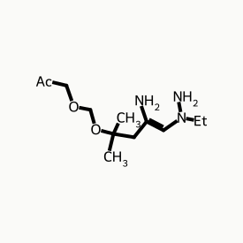 CCN(N)/C=C(\N)CC(C)(C)OCOCC(C)=O